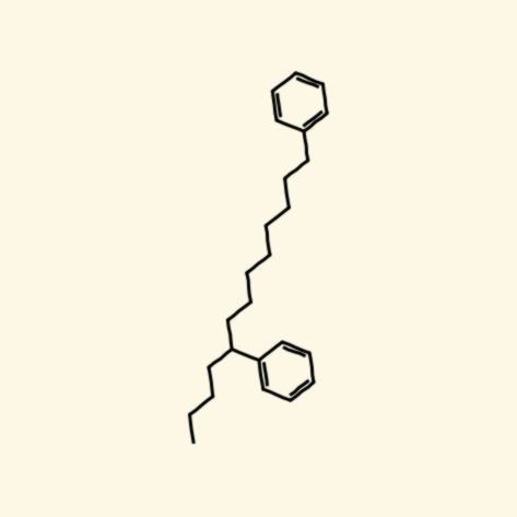 CCCCC(CCCCCCCCc1ccccc1)c1ccccc1